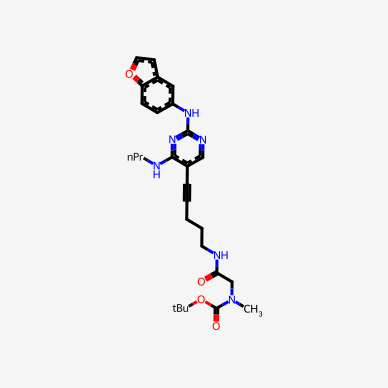 CCCNc1nc(Nc2ccc3occc3c2)ncc1C#CCCCNC(=O)CN(C)C(=O)OC(C)(C)C